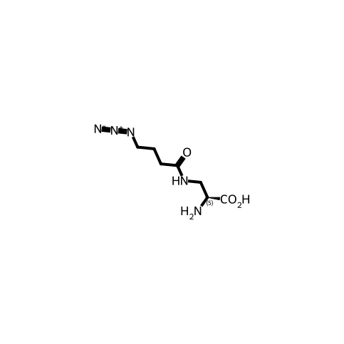 [N-]=[N+]=NCCCC(=O)NC[C@H](N)C(=O)O